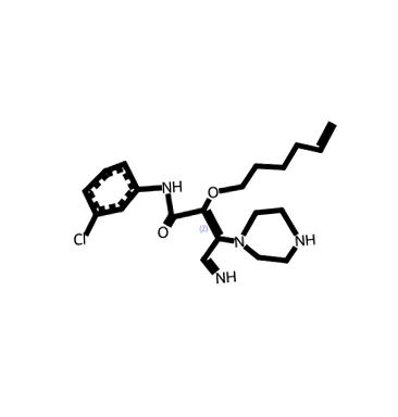 C=CCCCCO/C(C(=O)Nc1cccc(Cl)c1)=C(/C=N)N1CCNCC1